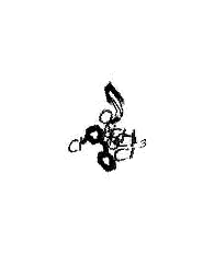 CN(C(=O)CN1C=CCC1)c1ccc(Cl)cc1C(=O)c1ccccc1Cl.Cl